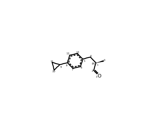 C[C@@H](C=O)Cc1ccc(C2CC2)cc1